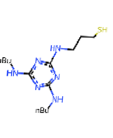 CCCCNc1nc(NCCCC)nc(NCCCS)n1